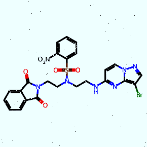 O=C1c2ccccc2C(=O)N1CCN(CCNc1ccn2ncc(Br)c2n1)S(=O)(=O)c1ccccc1[N+](=O)[O-]